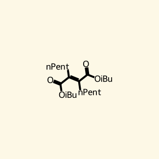 CCCCCC(C(=O)OCC(C)C)=C(CCCCC)C(=O)OCC(C)C